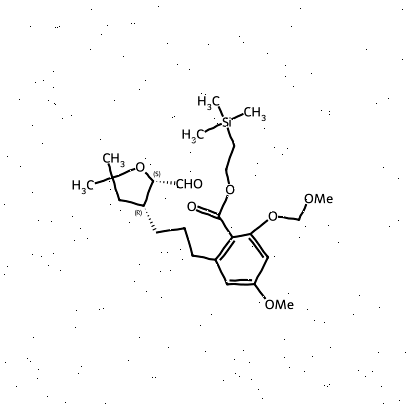 COCOc1cc(OC)cc(CCC[C@@H]2CC(C)(C)O[C@@H]2C=O)c1C(=O)OCC[Si](C)(C)C